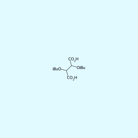 CC(C)COC(C(=O)O)C(OCC(C)C)C(=O)O